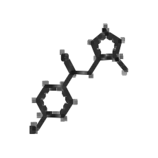 Cn1cncc1CC(=O)c1ccc(Br)cc1